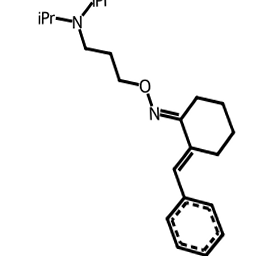 CC(C)N(CCCON=C1CCCCC1=Cc1ccccc1)C(C)C